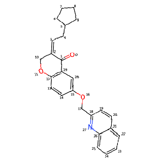 O=C1C(=CCC2CCCC2)COc2ccc(OCc3ccc4ccccc4n3)cc21